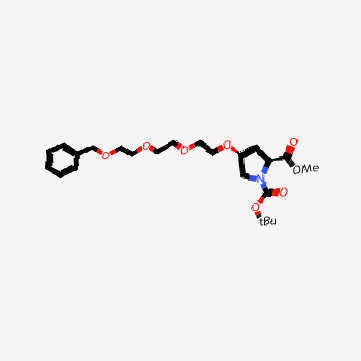 COC(=O)[C@@H]1C[C@H](OCCOCCOCCOCc2ccccc2)CN1C(=O)OC(C)(C)C